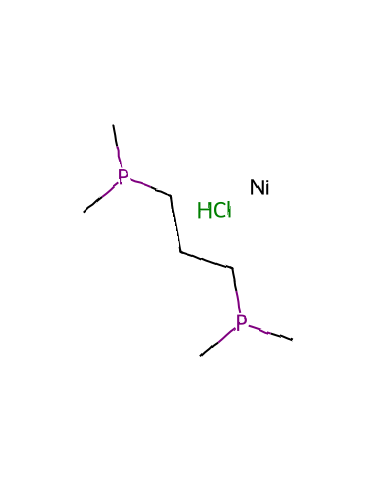 CP(C)CCCP(C)C.Cl.[Ni]